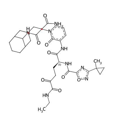 CCNC(=O)C(=O)CC[C@H](NC(=O)c1nc(C2(C)CC2)no1)C(=O)Nc1cccn(CC(=O)NC2C3CCCC2CC(CCC(N)=O)C3)c1=O